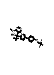 COc1ncncc1C(O)(c1ccc(-c2ccc(OCC(F)(F)F)cc2)cn1)C(C)(C)C